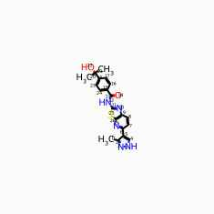 Cc1n[nH]cc1-c1ccc2nc(NC(=O)c3ccc(C(C)(C)O)cc3)sc2n1